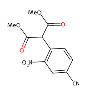 COC(=O)C(C(=O)OC)c1ccc(C#N)cc1[N+](=O)[O-]